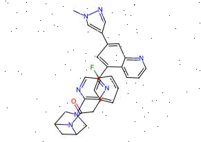 Cn1cc(-c2cc(-c3cnc(N4CC5CC(C4)N5C(=O)Cc4cccc(F)c4)cn3)c3cccnc3c2)cn1